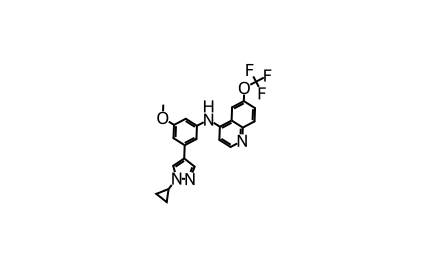 COc1cc(Nc2ccnc3ccc(OC(F)(F)F)cc23)cc(-c2cnn(C3CC3)c2)c1